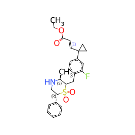 CCOC(=O)/C=C/C1(c2ccc(CC3[C@H](C)NC[C@@H](c4ccccc4)S3(=O)=O)c(F)c2)CC1